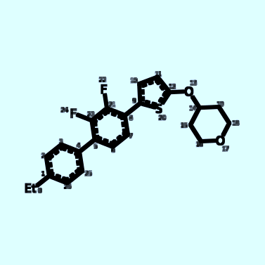 CCc1ccc(-c2ccc(-c3ccc(OC4CCOCC4)s3)c(F)c2F)cc1